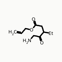 C=CCOC(=O)CC(CC)C(=O)CN